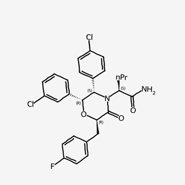 CCC[C@@H](C(N)=O)N1C(=O)[C@@H](Cc2ccc(F)cc2)O[C@H](c2cccc(Cl)c2)[C@@H]1c1ccc(Cl)cc1